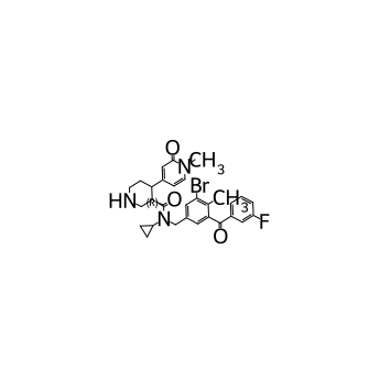 Cc1c(Br)cc(CN(C(=O)[C@H]2CNCCC2c2ccn(C)c(=O)c2)C2CC2)cc1C(=O)c1cccc(F)c1